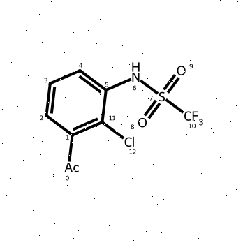 CC(=O)c1cccc(NS(=O)(=O)C(F)(F)F)c1Cl